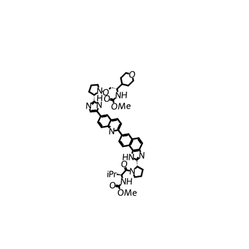 COC(=O)N[C@H](C(=O)N1CCC[C@H]1c1nc2ccc3cc(-c4ccc5cc(-c6cnc([C@@H]7CCCN7OC[C@@H](NC(=O)OC)C7CCOCC7)[nH]6)ccc5n4)ccc3c2[nH]1)C(C)C